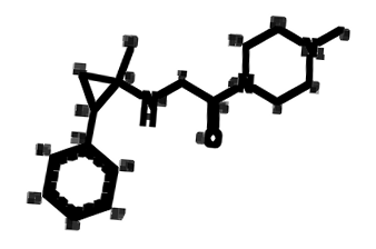 CN1CCN(C(=O)CNC2(C)CC2c2ccccc2)CC1